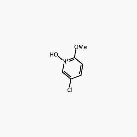 COc1ccc(Cl)c[n+]1O